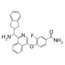 NC(=O)c1ccc(Oc2cnc(C(N)C3Cc4ccccc4C3)c3ccccc23)c(F)c1